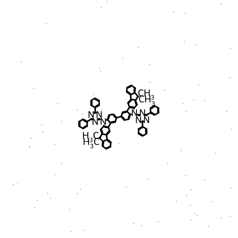 CC1(C)c2ccccc2-c2cc3c4cc(-c5ccc6c(c5)c5cc7c(cc5n6-c5nc(-c6ccccc6)nc(-c6ccccc6)n5)C(C)(C)c5ccccc5-7)ccc4n(-c4nc(-c5ccccc5)nc(-c5ccccc5)n4)c3cc21